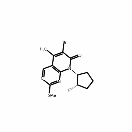 CSc1ncc2c(C)c(Br)c(=O)n([C@@H]3CCC[C@@H]3F)c2n1